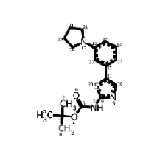 CC(C)(C)OC(=O)Nc1ncc(-c2cccc(N3CCCC3)c2)s1